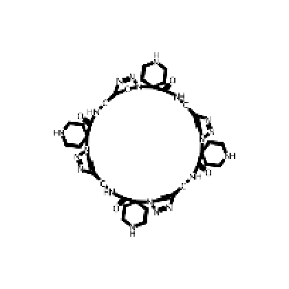 O=C1NCc2cn(nn2)C2(CCNCC2)C(=O)NCc2cn(nn2)C2(CCNCC2)C(=O)NCc2cn(nn2)C2(CCNCC2)C(=O)NCC2CN(N=N2)C12CCNCC2